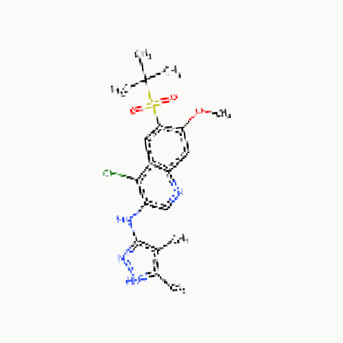 COc1cc2ncc(Nc3n[nH]c(C)c3C)c(Cl)c2cc1S(=O)(=O)C(C)(C)C